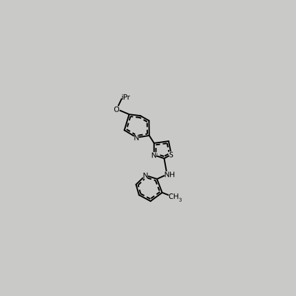 Cc1cccnc1Nc1nc(-c2ccc(OC(C)C)cn2)cs1